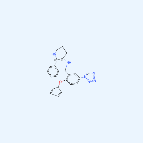 C1=CC(Oc2ccc(-n3cnnn3)cc2CN[C@H]2CCCN[C@H]2c2ccccc2)C=C1